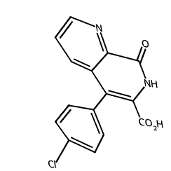 O=C(O)c1[nH]c(=O)c2ncccc2c1-c1ccc(Cl)cc1